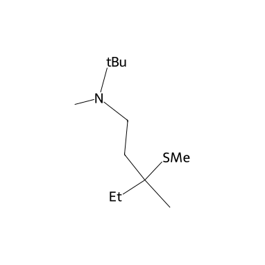 CCC(C)(CCN(C)C(C)(C)C)SC